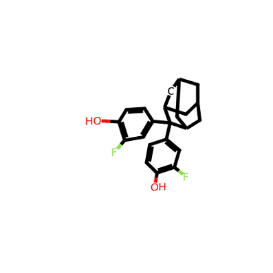 Oc1ccc(C2(c3ccc(O)c(F)c3)C3CC4CC(C3)CC2C4)cc1F